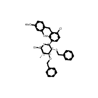 CC[C@H]1S[C@@H](c2ccc(Cl)c(Cc3ccc(OC)cc3OC)c2)[C@H](OCc2ccccc2)[C@@H](OCc2ccccc2)[C@@H]1C